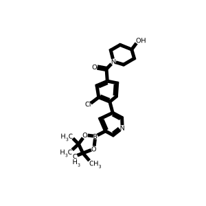 CC1(C)OB(c2cncc(-c3ccc(C(=O)N4CCC(O)CC4)cc3Cl)c2)OC1(C)C